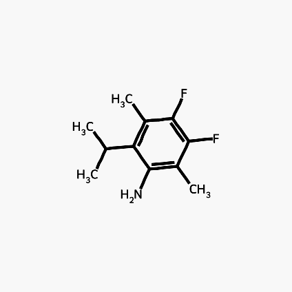 Cc1c(N)c(C(C)C)c(C)c(F)c1F